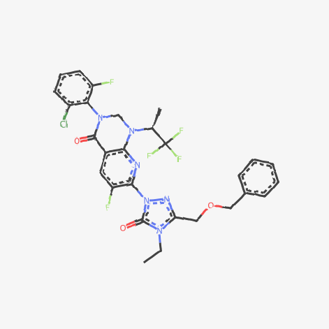 CCn1c(COCc2ccccc2)nn(-c2nc3c(cc2F)C(=O)N(c2c(F)cccc2Cl)CN3[C@@H](C)C(F)(F)F)c1=O